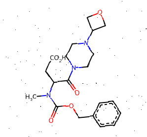 CN(C(=O)OCc1ccccc1)C(CC(=O)O)C(=O)N1CCN(C2COC2)CC1